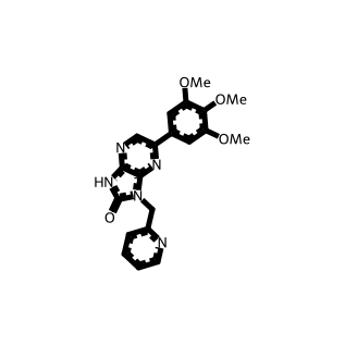 COc1cc(-c2cnc3[nH]c(=O)n(Cc4ccccn4)c3n2)cc(OC)c1OC